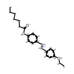 CCCCCCC(=O)Oc1ccc(/N=N/c2ccc(OCC)cc2)cc1